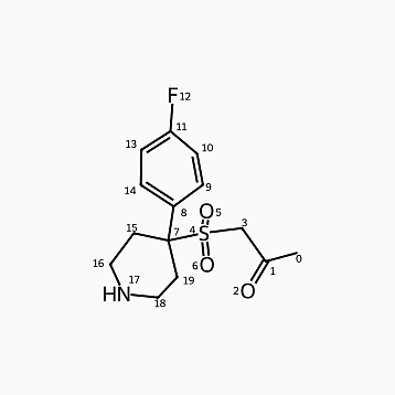 CC(=O)CS(=O)(=O)C1(c2ccc(F)cc2)CCNCC1